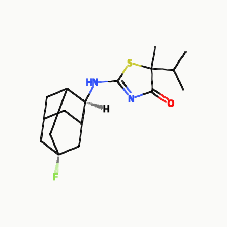 CC(C)C1(C)SC(N[C@H]2C3CC4CC2C[C@](F)(C4)C3)=NC1=O